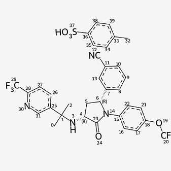 CC(C)(N[C@@H]1C[C@H](c2cccc(C#N)c2)N(c2ccc(OC(F)(F)F)cc2)C1=O)c1ccc(C(F)(F)F)nc1.Cc1ccc(S(=O)(=O)O)cc1